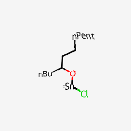 CCCCCCCC(CCCC)[O][Sn][Cl]